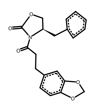 O=C(CCc1ccc2c(c1)OCO2)N1C(=O)OC[C@H]1Cc1ccccc1